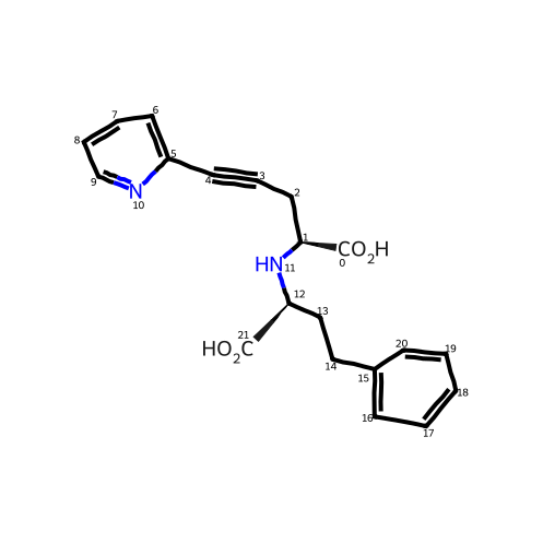 O=C(O)[C@H](CC#Cc1ccccn1)N[C@@H](CCc1ccccc1)C(=O)O